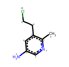 Cc1ncc(N)cc1CCCl